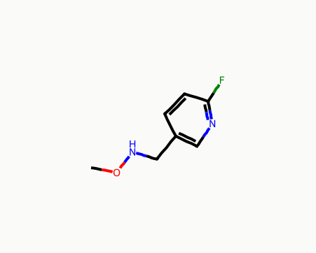 CONCc1ccc(F)nc1